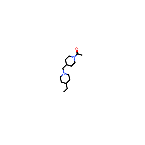 CCC1CCN(CC2CCN(C(C)=O)CC2)CC1